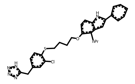 CCCc1c(OCCCCSc2ccc(Cc3nnn[nH]3)cc2Cl)ccc2[nH]c(-c3ccccc3)cc12